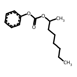 CCCCCCC(C)OC(=O)Oc1ccccc1